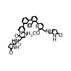 COc1nc(-c2cccc(-c3cccc(-c4ccn5c(=O)c(CNCC6(C)CCC(=O)N6)cnc5c4)c3Cl)c2Cl)ccc1CNCC1CCC(=O)N1